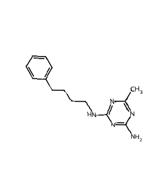 Cc1nc(N)nc(NCCCCc2ccccc2)n1